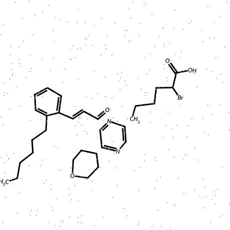 C1CCOCC1.CCCCC(Br)C(=O)O.CCCCCCc1ccccc1/C=C/C=O.c1cnccn1